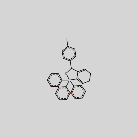 Fc1ccc(C2OP(c3ccccc3)(c3ccccc3)(c3ccccc3)C3=CCCC=C32)cc1